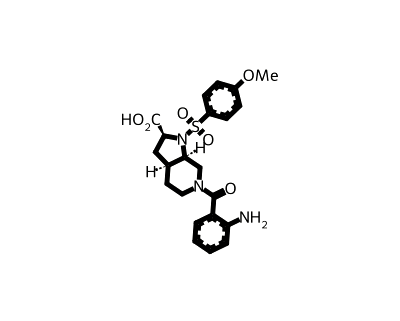 COc1ccc(S(=O)(=O)N2[C@H](C(=O)O)C[C@@H]3CCN(C(=O)c4ccccc4N)C[C@@H]32)cc1